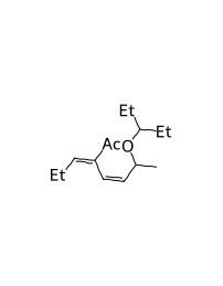 CC/C=C(\C=C/C(C)OC(CC)CC)C(C)=O